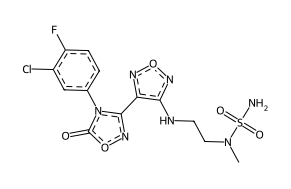 CN(CCNc1nonc1-c1noc(=O)n1-c1ccc(F)c(Cl)c1)S(N)(=O)=O